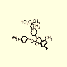 C=C(OCc1ccc(OC(C)C)cc1)N(Cc1ccc(F)cc1C)C1CCN(CC(C)(C)C(=O)O)CC1